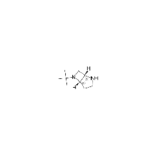 CC(C)(C)N1C[C@@H]2NCC[C@@H]21